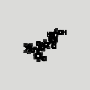 C[C@@H](CO)Nc1ncc(Cl)c(-c2cc3n(c2)C(=O)N([C@H](CO[Si](C)(C)C(C)(C)C)c2cccc(Cl)c2)C3)n1